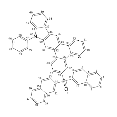 O=P(c1ccc2ccccc2c1)(c1ccc2ccccc2c1)c1ccc2c(c1)c1ccccc1c1cc3c4ccccc4n(-c4ccccc4)c3cc21